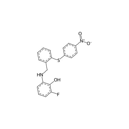 O=[N+]([O-])c1ccc(Sc2ccccc2CNc2cccc(F)c2O)cc1